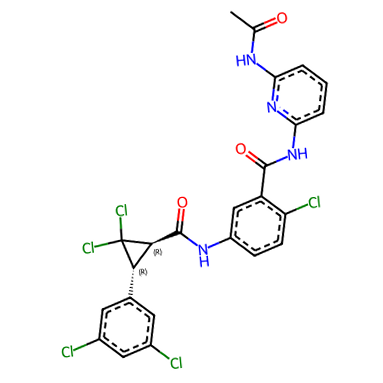 CC(=O)Nc1cccc(NC(=O)c2cc(NC(=O)[C@H]3[C@H](c4cc(Cl)cc(Cl)c4)C3(Cl)Cl)ccc2Cl)n1